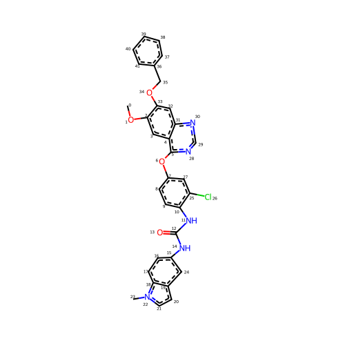 COc1cc2c(Oc3ccc(NC(=O)Nc4ccc5c(ccn5C)c4)c(Cl)c3)ncnc2cc1OCc1ccccc1